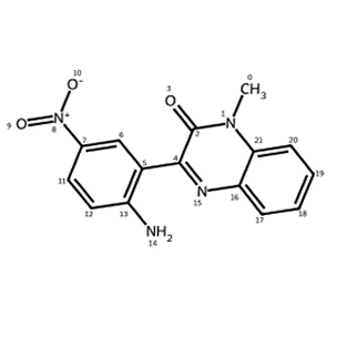 Cn1c(=O)c(-c2cc([N+](=O)[O-])ccc2N)nc2ccccc21